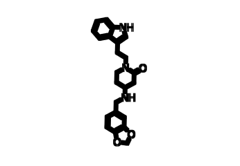 O=C1CC(NCc2ccc3c(c2)OCO3)CCN1CCc1c[nH]c2ccccc12